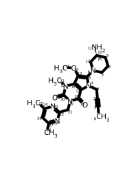 CC#CCn1c(N2CCC[C@@H](N)C2)c(OC)c2c1c(=O)n(Cc1nc(C)cc(C)n1)c(=O)n2C